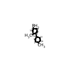 Cc1ccc(-c2ccc(P)cc2C)cc1